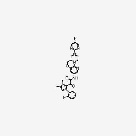 Cc1cc(-c2ccccc2F)c(C(=O)C(=O)Nc2cnc3c(c2)OCC2CN(c4ncc(F)cn4)CCN32)n1C